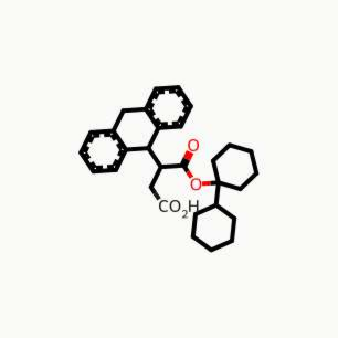 O=C(O)CC(C(=O)OC1(C2CCCCC2)CCCCC1)C1c2ccccc2Cc2ccccc21